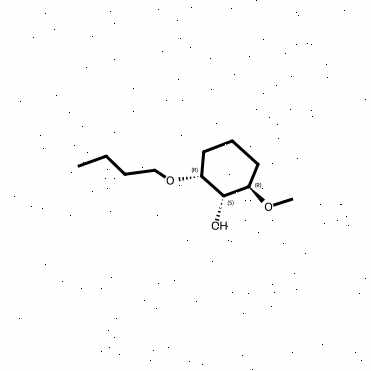 CCCCO[C@@H]1CCC[C@@H](OC)[C@@H]1O